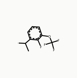 [CH2]C(C)c1cccc(OC(F)(F)F)c1F